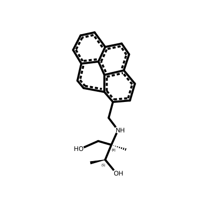 C[C@H](O)[C@@](C)(CO)NCc1ccc2ccc3cccc4ccc1c2c34